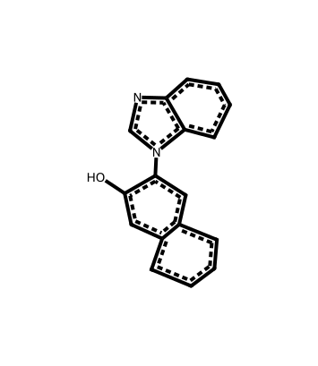 Oc1cc2ccccc2cc1-n1cnc2ccccc21